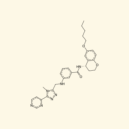 CCCCCOc1ccc2c(c1)[C@@H](NC(=O)c1cccc(NCc3nnc(-c4ccncn4)n3C)c1)CCO2